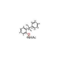 CC(=O)NOc1ccccc1C(C)(C)c1ccccc1